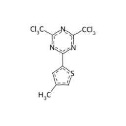 Cc1csc(-c2nc(C(Cl)(Cl)Cl)nc(C(Cl)(Cl)Cl)n2)c1